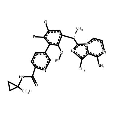 Cc1nc([C@@H](C)c2cc(Cl)c(F)c(-c3ccc(C(=O)NC4(C(=O)O)CC4)nc3)c2OC(C)C)n2ccnc(N)c12